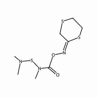 CN(C)SN(C)C(=O)ON=C1CSCCS1